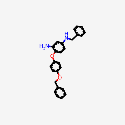 Nc1cc(NCc2ccccc2)ccc1Oc1ccc(OCc2ccccc2)cc1